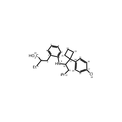 CCC(Cc1ccccc1NC(CC(C)C)C1(c2ccc(Cl)cc2)CCC1)C(=O)O